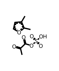 CC(=O)C(=O)OS(=O)(=O)O.Cc1ccoc1C